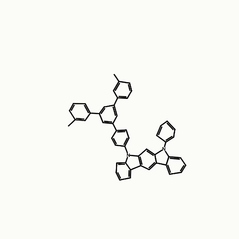 Cc1cccc(-c2cc(-c3ccc(-n4c5ccccc5c5cc6c7ccccc7n(-c7ccccc7)c6cc54)cc3)cc(-c3cccc(C)c3)c2)c1